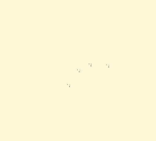 CCc1nc(-c2ccccc2-c2nc3ccccc3[nH]2)[nH]c1C